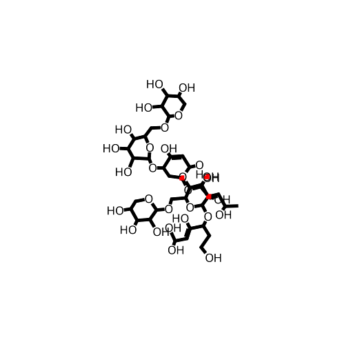 CC(O)/C=C/C(O)OCCC(OC1OC(COC2OCC(O)C(O)C2O)C(O)C(O)C1O)/C(O)=C\C(O)OC1C(COC2OCC(O)C(O)C2O)OC(OC(CCO)/C(O)=C/C(O)O)C(O)C1O